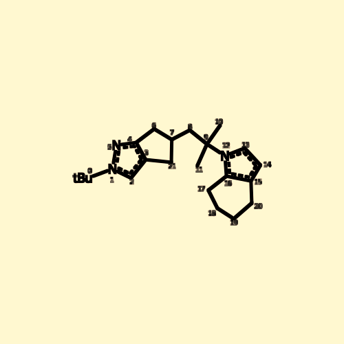 CC(C)(C)n1cc2c(n1)CC(CC(C)(C)n1ccc3c1CCCC3)C2